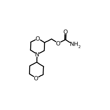 NC(=O)OCC1CN(C2CCOCC2)CCO1